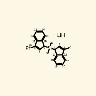 CC1=CC([Si](C)(C)C2C=C(C(C)C)c3ccccc32)c2ccccc21.[LiH]